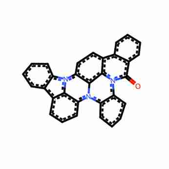 O=c1c2ccccc2c2ccc3c4c2n1c1ccccc1n-4c1cccc2c4ccccc4n3c21